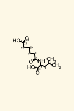 CC(C)CC(NC(=O)CCCCC(=O)O)C(=O)O